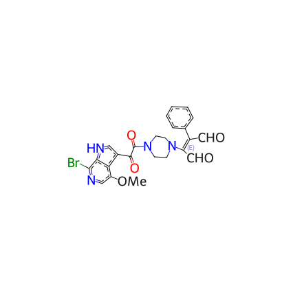 COc1cnc(Br)c2[nH]cc(C(=O)C(=O)N3CCN(/C(C=O)=C(/C=O)c4ccccc4)CC3)c12